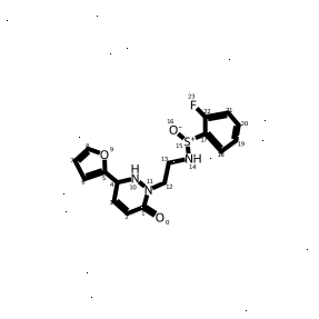 O=C1C=CC(c2ccco2)NN1CCN[S+]([O-])c1ccccc1F